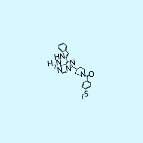 CCSc1ccc(C(=O)N2CCC(c3nc(-c4cc5ccccc5[nH]4)c4c(N)nccn34)CC2)cc1